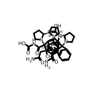 CC1(CC(N)=O)c2cccc(c2)[C@]1(C(=O)NC(=O)O)N1CCCC1[C@H]1CC[C@H](C2CCCN2[C@@]2(C(=O)NC(=O)O)c3cccc(c3)C2(C)CC(N)=O)N1c1ccc(F)cc1